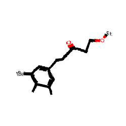 CCOCCC(=O)CCc1cc(C)c(C)c(C(C)(C)C)c1